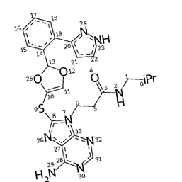 CC(C)CNC(=O)CCn1c(SC2=COC(c3ccccc3-c3cc[nH]n3)O2)nc2c(N)ncnc21